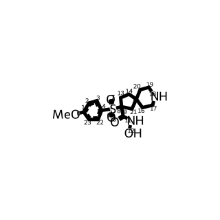 COc1ccc(S(=O)(=O)C2(C(=O)NO)CCC3(CCNCC3)C2)cc1